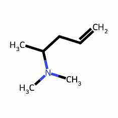 C=CCC(C)N(C)C